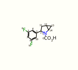 O=C(O)N1C(c2cc(F)cc(F)c2)CC2CC21